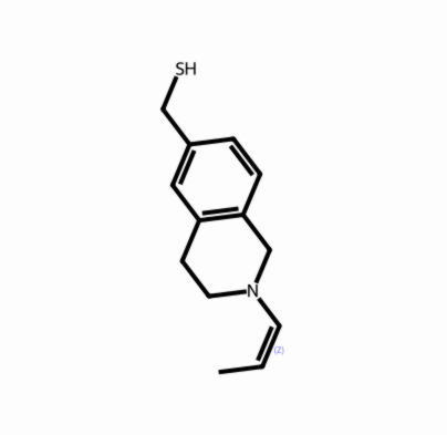 C/C=C\N1CCc2cc(CS)ccc2C1